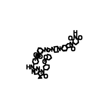 O=C1CCC(N2Cc3cc(N4CCN(C5CN(c6cccc(S(=O)(=O)N7CCC(Nc8ncc9c(n8)N([C@H]8CCC[C@H](OC%10CCCCO%10)C8)C(=O)C98CC8)CC7)c6)C5)CC4)ccc3C2=O)C(=O)N1